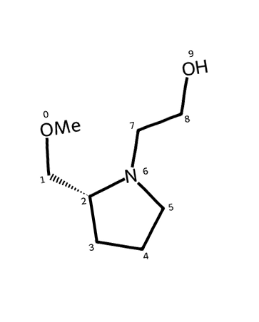 COC[C@H]1CCCN1CCO